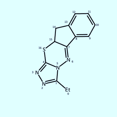 CCc1nnc2n1N=C1c3ccccc3CC1S2